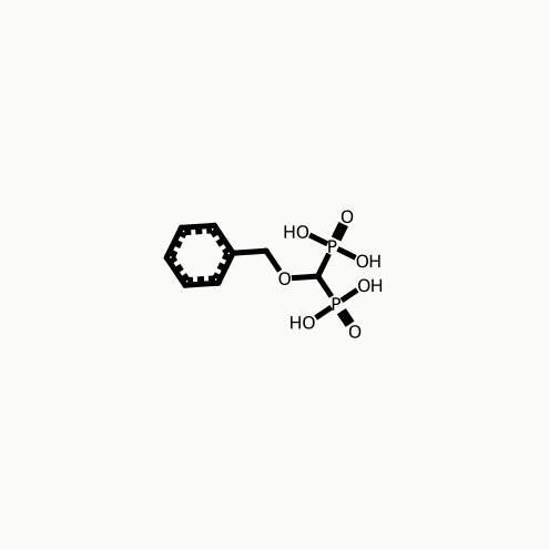 O=P(O)(O)C(OCc1ccccc1)P(=O)(O)O